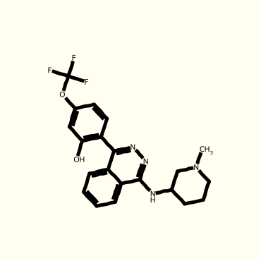 CN1CCCC(Nc2nnc(-c3ccc(OC(F)(F)F)cc3O)c3ccccc23)C1